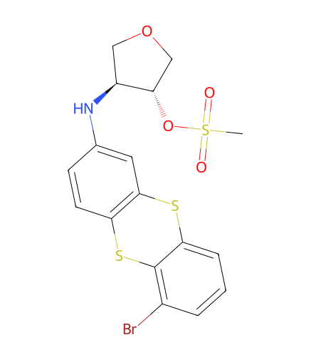 CS(=O)(=O)O[C@H]1COC[C@@H]1Nc1ccc2c(c1)Sc1cccc(Br)c1S2